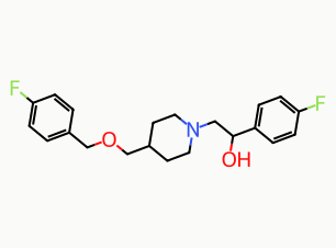 OC(CN1CCC(COCc2ccc(F)cc2)CC1)c1ccc(F)cc1